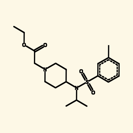 CCOC(=O)CN1CCC(N(C(C)C)S(=O)(=O)c2cccc(C)c2)CC1